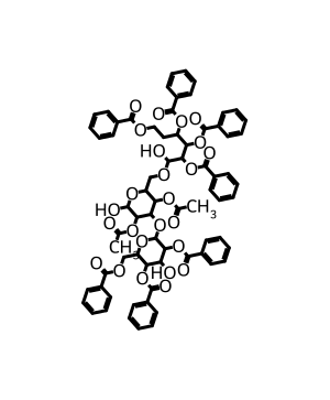 CC(=O)OC1C(O)OC(COC(O)C(OC(=O)c2ccccc2)C(OC(=O)c2ccccc2)C(CCOC(=O)c2ccccc2)OC(=O)c2ccccc2)C(OC(C)=O)C1OC1OC(COC(=O)c2ccccc2)C(OC(=O)c2ccccc2)C(O)C1OC(=O)c1ccccc1